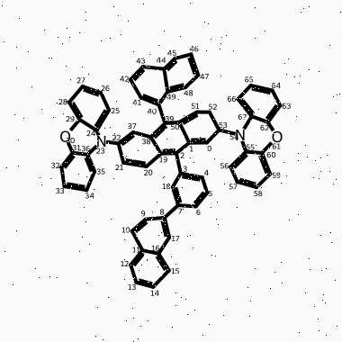 C1=c2c(-c3cccc(-c4ccc5ccccc5c4)c3)c3ccc(N4c5ccccc5Oc5ccccc54)cc3c(-c3cccc4ccccc34)c2=CCC1N1c2ccccc2Oc2ccccc21